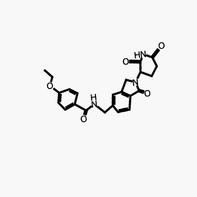 CCOc1ccc(C(=O)NCc2ccc3c(c2)CN(C2CCC(=O)NC2=O)C3=O)cc1